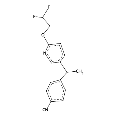 [C-]#[N+]c1ccc(C(C)c2ccc(OCC(F)F)nc2)cc1